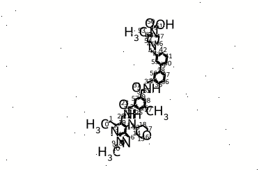 CCc1nc2c(cnn2CC)c(NC2CCOCC2)c1CNC(=O)c1cc(C)cc(C(=O)NCc2cccc(-c3cccc(CN4CCN(C(=O)O)[C@@H](C)C4)c3)c2)c1